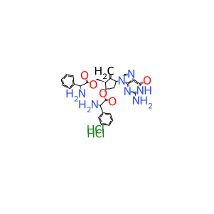 C=C1[C@H](COC(=O)C(N)c2ccccc2)[C@@H](OC(=O)C(N)c2ccccc2)C[C@@H]1n1cnc2c(=O)[nH]c(N)nc21.Cl.Cl